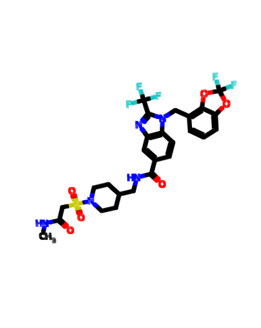 CNC(=O)CS(=O)(=O)N1CCC(CNC(=O)c2ccc3c(c2)nc(C(F)(F)F)n3Cc2cccc3c2OC(F)(F)O3)CC1